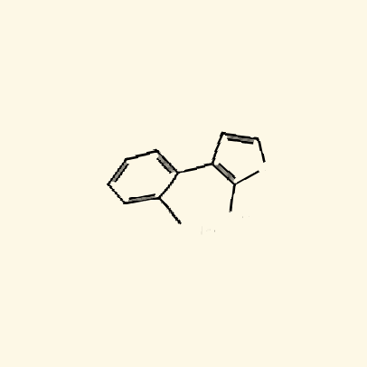 CCCCCCc1ccccc1-c1ccsc1C=O